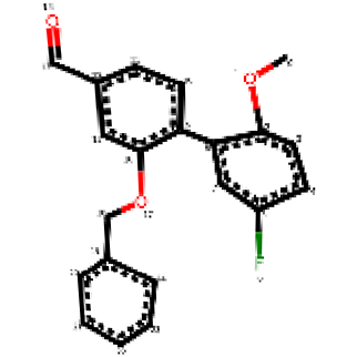 COc1ccc(F)cc1-c1ccc(C=O)cc1OCc1ccccc1